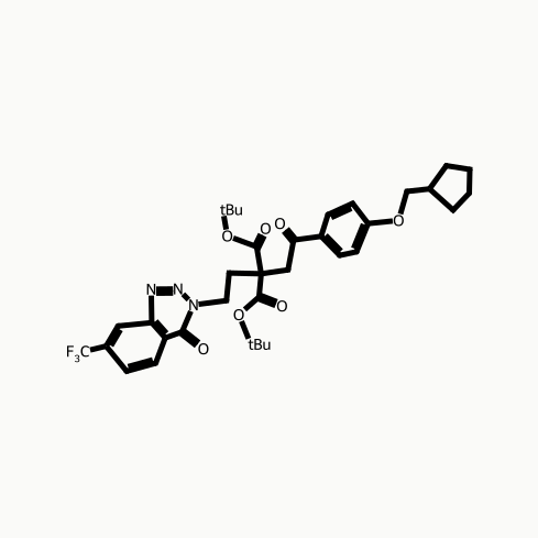 CC(C)(C)OC(=O)C(CCn1nnc2cc(C(F)(F)F)ccc2c1=O)(CC(=O)c1ccc(OCC2CCCC2)cc1)C(=O)OC(C)(C)C